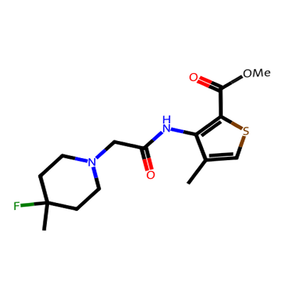 COC(=O)c1scc(C)c1NC(=O)CN1CCC(C)(F)CC1